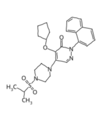 CC(C)S(=O)(=O)N1CCN(c2cnn(-c3cccc4ccccc34)c(=O)c2OC2CCCC2)CC1